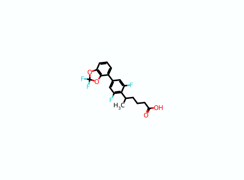 CC(CCCC(=O)O)c1c(F)cc(-c2cccc3c2OC(F)(F)O3)cc1F